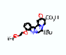 CC(C)OCCOc1cccc2c3n(nc12)CC(C(C)(C)C)n1cc(C(=O)O)c(=O)cc1-3